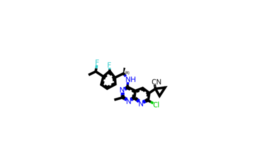 Cc1nc(N[C@H](C)c2cccc(C(C)F)c2F)c2cc(C3(C#N)CC3)c(Cl)nc2n1